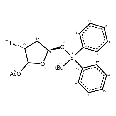 CC(=O)OC1O[C@H](O[Si](c2ccccc2)(c2ccccc2)C(C)(C)C)C[C@H]1F